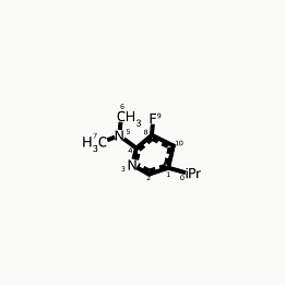 CC(C)c1cnc(N(C)C)c(F)c1